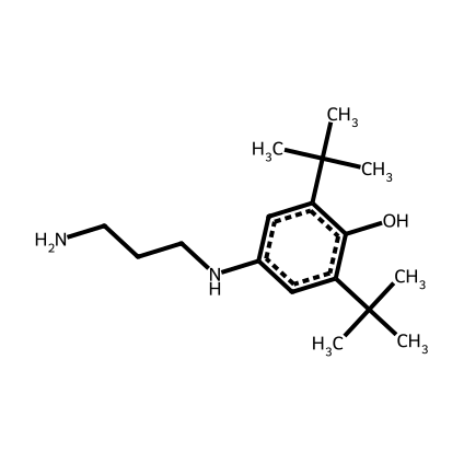 CC(C)(C)c1cc(NCCCN)cc(C(C)(C)C)c1O